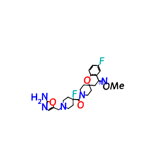 CO/N=C1\CC2(CCN(C(=O)C3(F)CCN(Cc4cnc(N)o4)CC3)CC2)Oc2ccc(F)cc21